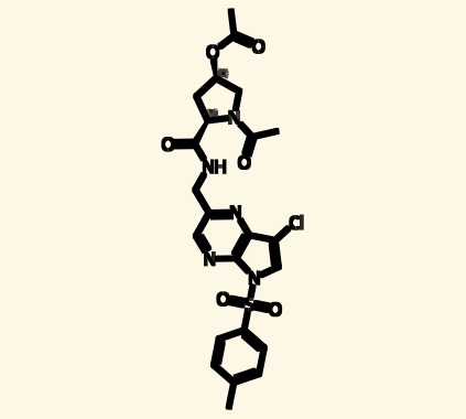 CC(=O)O[C@@H]1C[C@H](C(=O)NCc2cnc3c(n2)c(Cl)cn3S(=O)(=O)c2ccc(C)cc2)N(C(C)=O)C1